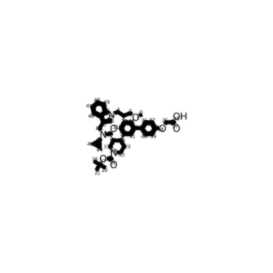 COCCCn1cc(CN(C(=O)[C@H]2CN(C(=O)OC(C)(C)C)CC[C@@H]2c2cccc(-c3ccc(OCC(=O)O)cc3)c2)C2CC2)c2ccccc21